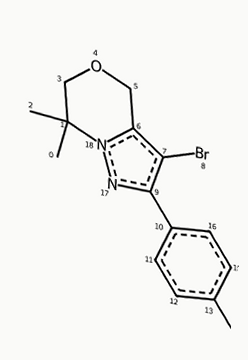 CC1(C)COCc2c(Br)c(-c3ccc(F)cc3)nn21